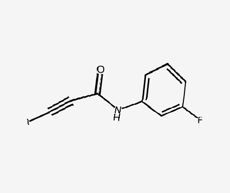 O=C(C#CI)Nc1cccc(F)c1